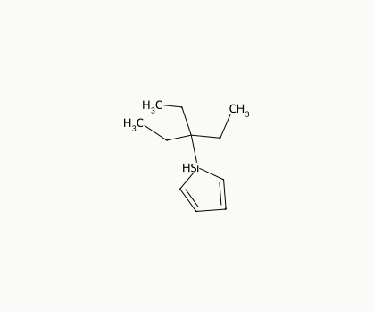 CCC(CC)(CC)[SiH]1C=CC=C1